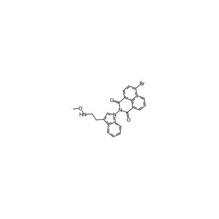 CONCCc1cn(N2C(=O)c3cccc4c(Br)ccc(c34)C2=O)c2ccccc12